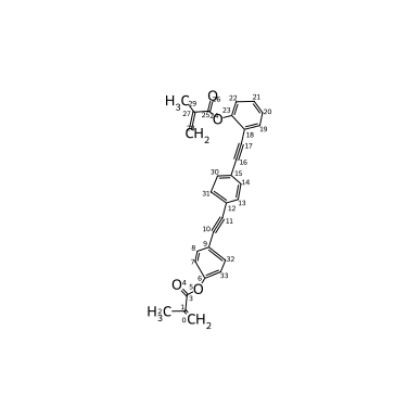 C=C(C)C(=O)Oc1ccc(C#Cc2ccc(C#Cc3ccccc3OC(=O)C(=C)C)cc2)cc1